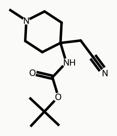 CN1CCC(CC#N)(NC(=O)OC(C)(C)C)CC1